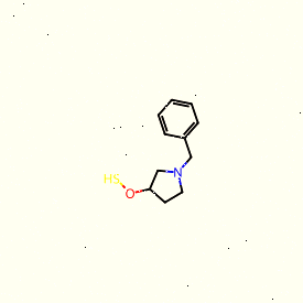 SOC1CCN(Cc2ccccc2)C1